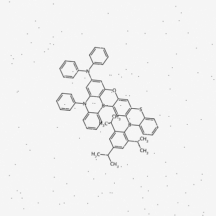 CC(C)c1cc(C(C)C)c(B2c3ccccc3Sc3cc4c(cc32)B2c3ccccc3N(c3ccccc3)c3cc(N(c5ccccc5)c5ccccc5)cc(c32)O4)c(C(C)C)c1